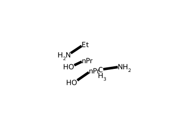 CCCO.CCCO.CCN.CN